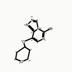 Brc1ncc(OC2CCOCC2)c2nncn12